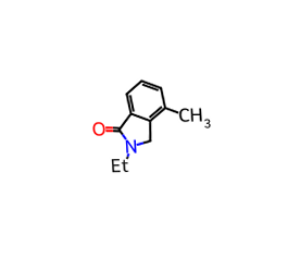 CCN1Cc2c(C)cccc2C1=O